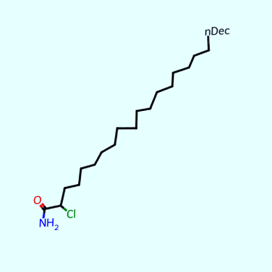 CCCCCCCCCCCCCCCCCCCCCCCCCCC(Cl)C(N)=O